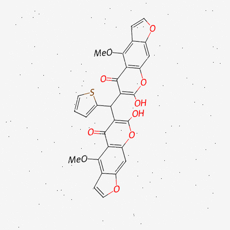 COc1c2ccoc2cc2oc(O)c(C(c3cccs3)c3c(O)oc4cc5occc5c(OC)c4c3=O)c(=O)c12